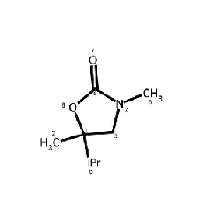 CC(C)C1(C)CN(C)C(=O)O1